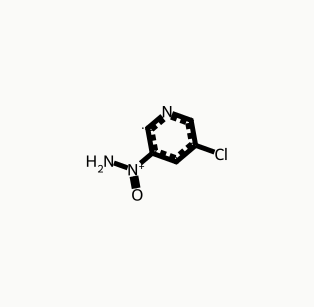 N[N+](=O)c1[c]ncc(Cl)c1